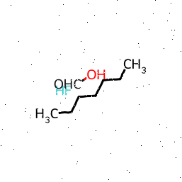 CCCCCCC.F.O=CO